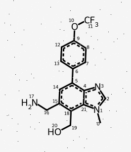 Cn1cnc2c(-c3ccc(OC(F)(F)F)cc3)cc(CN)c(CO)c21